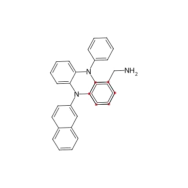 NCc1cccc(N(c2ccc3ccccc3c2)c2ccccc2N(c2ccccc2)c2ccccc2)c1